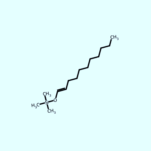 CCCCCCCCCC=CO[Si](C)(C)C